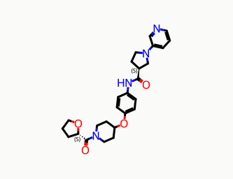 O=C(Nc1ccc(OC2CCN(C(=O)[C@@H]3CCCO3)CC2)cc1)[C@H]1CCN(c2cccnc2)C1